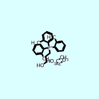 CC(=O)O.CC(=O)[O-].Cc1ccccc1[P+](CCCO)(c1ccccc1C)c1ccccc1C